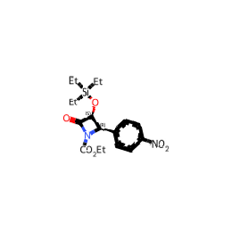 CCOC(=O)N1C(=O)[C@@H](O[Si](CC)(CC)CC)[C@H]1c1ccc([N+](=O)[O-])cc1